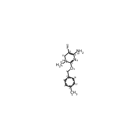 Cc1ccc(COC2=NC(N)=C(F)CN2C)cc1